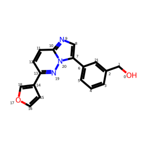 OCc1cccc(-c2cnc3ccc(-c4ccoc4)nn23)c1